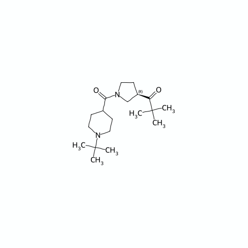 CC(C)(C)C(=O)[C@@H]1CCN(C(=O)C2CCN(C(C)(C)C)CC2)C1